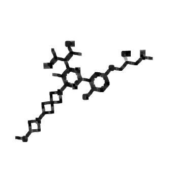 CNC[C@@H](O)COc1ccc(Cl)c(-c2nc(/C(C(C)=N)=C(\C)O)c(C)c(N3CC4(CC(N5CC(OC)C5)C4)C3)n2)c1